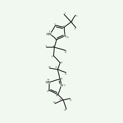 CC(C)(C)c1c[nH]c(C(C)(C)CCC(C)(C)c2nc(C(C)(C)C)c[nH]2)n1